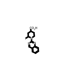 O=C(O)C1CCN(c2ncc3ccccc3n2)C(I)C1